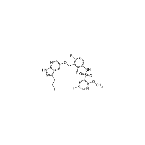 COc1ncc(F)cc1S(=O)(=O)Nc1ccc(F)c(COc2cnc3[nH]nc(CCF)c3c2)c1F